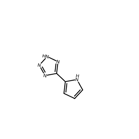 c1c[nH]c(-c2nn[nH]n2)c1